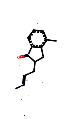 C/C=C/CC1Cc2c(C)cccc2C1=O